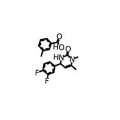 CC1=CC(c2ccc(F)c(F)c2)NC(=O)N1C.Cc1cccc(C(=O)O)c1